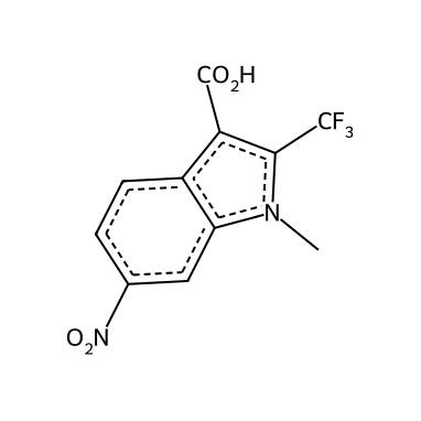 Cn1c(C(F)(F)F)c(C(=O)O)c2ccc([N+](=O)[O-])cc21